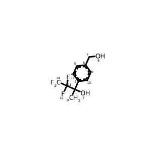 CC(O)(c1ccc(CO)cc1)C(F)(F)C(F)(F)F